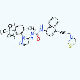 Cc1ccc(C(C)(C)C)cc1-n1nccc1NC(=O)Nc1ccc(C#CCN2CCSC2)c2ccccc12